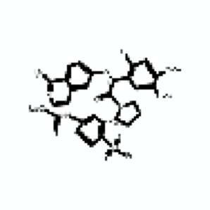 COC(=O)Nc1ccc(S(=O)(=O)C(C)C)c([C@H]2CCCN2C(=O)[C@H](Oc2ccc3c(N)nccc3c2)c2cc(OC)c(OC)cc2F)c1